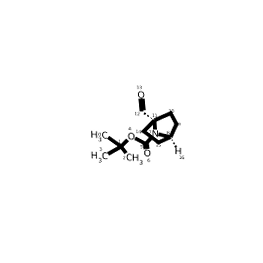 CC(C)(C)OC(=O)N1[C@H]2CC[C@]1(C=O)CC2